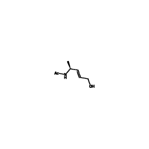 CC(=O)N[C@@H](C)/C=C/CO